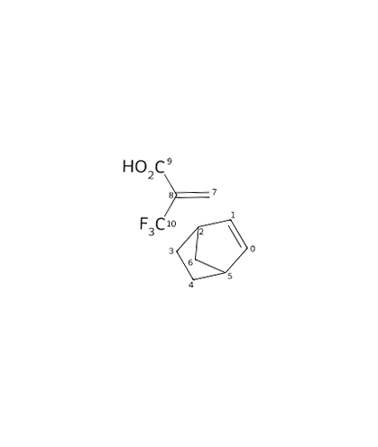 C1=CC2CCC1C2.C=C(C(=O)O)C(F)(F)F